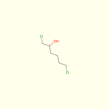 OC(CCl)CCCCCl